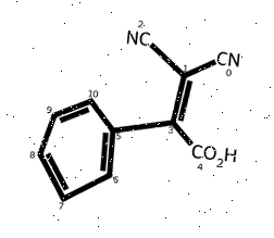 N#CC(C#N)=C(C(=O)O)c1ccccc1